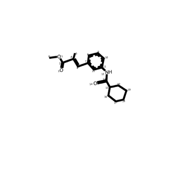 COC(=O)/C(C)=C/c1cccc(NC(=O)C2CCCCC2)c1